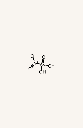 O=[N+]([O-])[As](=O)(O)O